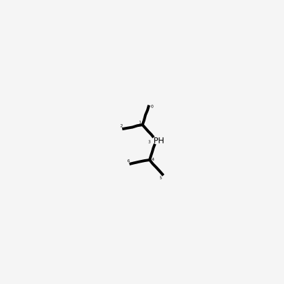 CC(C)PC(C)C